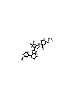 COc1ccc2c(c1)C(=O)N(C[C@@]1(c3cc4c(-c5cccc(C#N)c5)nccc4o3)NC(=O)NC1=O)C2